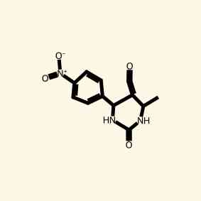 CC1NC(=O)NC(c2ccc([N+](=O)[O-])cc2)C1=C=O